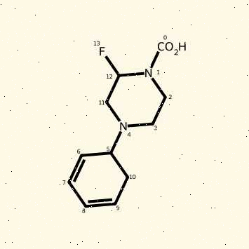 O=C(O)N1CCN(C2C=CC=CC2)CC1F